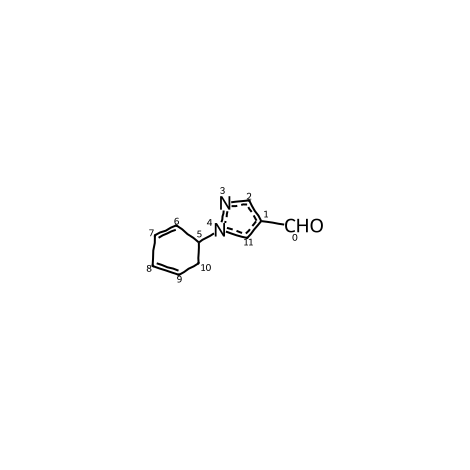 O=Cc1cnn(C2C=CC=CC2)c1